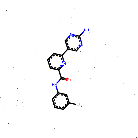 Nc1ncc(-c2cccc(C(=O)Nc3cccc(C(F)(F)F)c3)n2)cn1